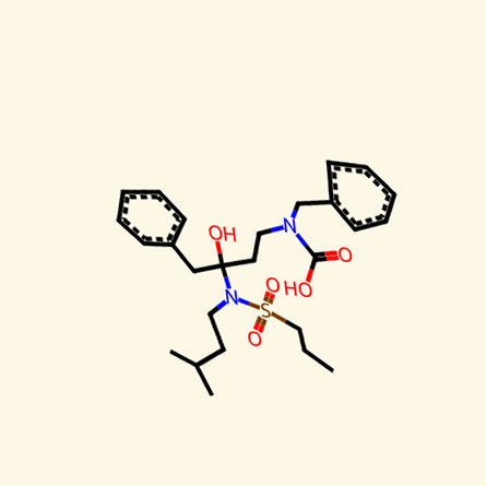 CCCS(=O)(=O)N(CCC(C)C)C(O)(CCN(Cc1ccccc1)C(=O)O)Cc1ccccc1